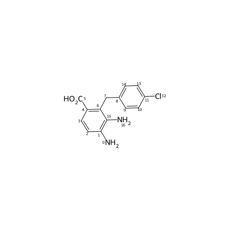 Nc1ccc(C(=O)O)c(Cc2ccc(Cl)cc2)c1N